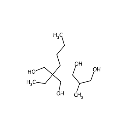 CC(CO)CO.CCCCC(CC)(CO)CO